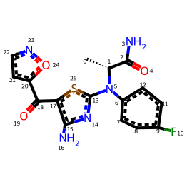 C[C@H](C(N)=O)N(c1ccc(F)cc1)c1nc(N)c(C(=O)c2ccno2)s1